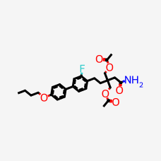 CCCCOc1ccc(-c2ccc(CCC(COC(C)=O)(COC(C)=O)CC(N)=O)c(F)c2)cc1